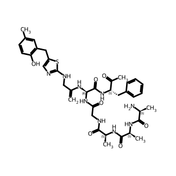 C=C(CNc1ncc(Cc2cc(C)ccc2O)s1)N[C@H](NC(=O)CNC(=O)[C@H](C)NC(=O)[C@H](C)NC(=O)[C@H](C)N)C(=O)N[C@@H](Cc1ccccc1)C(C)=O